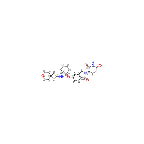 O=C1CCC(N2Cc3cc(O[C@@H]4CCCC[C@H]4NC4CC5(CCOCC5)C4)ccc3C2=O)C(=O)N1